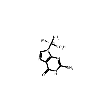 CC(C)[C@](N)(C(=O)O)n1cnc2c(=O)[nH]c(N)nc21